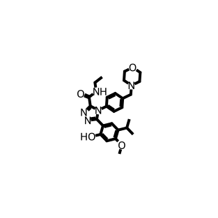 CCNC(=O)c1nnc(-c2cc(C(C)C)c(OC)cc2O)n1-c1ccc(CN2CCOCC2)cc1